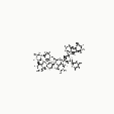 c1ccc(-c2cc(-c3cccc4c3sc3ccccc34)nc(-c3ccc(-c4ccc5c(c4)C(c4ccccc4)(c4ccccc4)c4ccccc4-5)c4ccccc34)n2)cc1